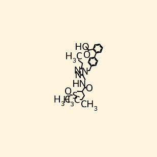 CCCc1nnc(CNC(=O)C(CSC(C)=O)CC(C)C)n1Cc1ccc(-c2ccccc2C(=O)O)cc1